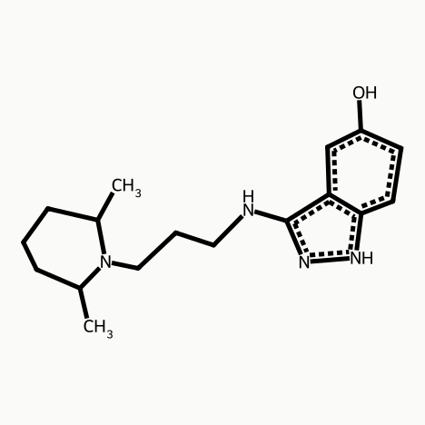 CC1CCCC(C)N1CCCNc1n[nH]c2ccc(O)cc12